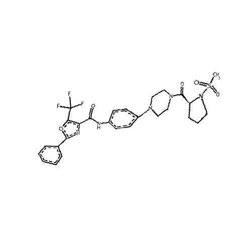 CS(=O)(=O)N1CCC[C@H]1C(=O)N1CCN(c2ccc(NC(=O)c3nc(-c4ccccc4)oc3C(F)(F)F)cc2)CC1